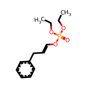 CCOP(=O)(OC=CCc1ccccc1)OCC